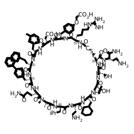 Cc1cccc(C[C@@H]2NC(=O)[C@H](CC(=O)O)NC(=O)[C@H](Cc3ccc(OCC(=O)O)cc3)NC(=O)[C@H](CCCCNC(=N)N)NC(=O)CSC[C@@H](C(=O)N[C@@H](CCN)C(N)=O)NC(=O)[C@H](CO)NC(=O)[C@H](C(C)(C)O)NC(=O)[C@H](CC3CCCCC3)NC(=O)[C@H](CCN)NC(=O)[C@@H](CC(C)C)NC(=O)[C@H](C)N(C)C(=O)[C@H](CCC(N)=O)NC(=O)[C@H](Cc3ccc(-c4ccccc4)cc3)NC(=O)[C@H](CCc3ccccc3)NC2=O)c1